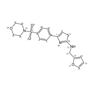 O=S(=O)(c1ccc(-c2csc(NCc3ccco3)n2)cc1)N1CCOCC1